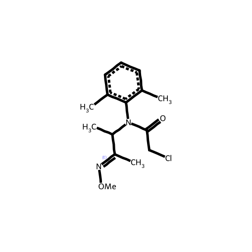 CO/N=C(\C)C(C)N(C(=O)CCl)c1c(C)cccc1C